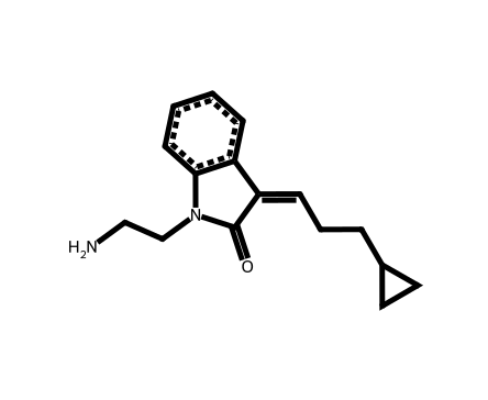 NCCN1C(=O)C(=CCCC2CC2)c2ccccc21